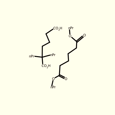 CCCC(CCC)(CCCC(=O)O)C(=O)O.CCCOC(=O)CCCCC(=O)OCCC